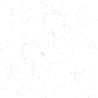 CCCCCCCCCCCC[N+]1(CN2CCCC2=O)CCc2ccccc21.[Cl-]